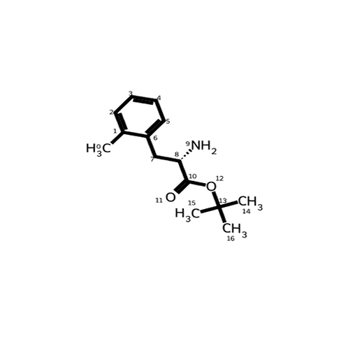 Cc1ccccc1C[C@H](N)C(=O)OC(C)(C)C